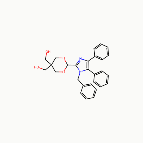 OCC1(CO)COC(c2nc(-c3ccccc3)c(-c3ccccc3)n2Cc2ccccc2)OC1